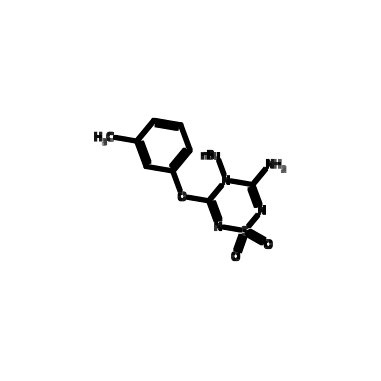 CCCCN1C(N)=NS(=O)(=O)N=C1Oc1cccc(C)c1